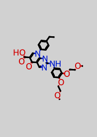 CCc1ccc(-n2cc(C(=O)O)c(=O)c3cnc(Nc4ccc(OCCOC)c(OCCOC)c4)nc32)cc1